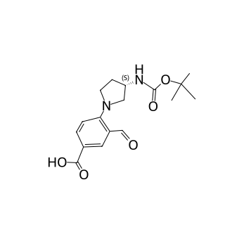 CC(C)(C)OC(=O)N[C@H]1CCN(c2ccc(C(=O)O)cc2C=O)C1